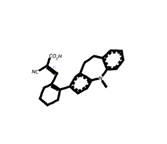 CN1c2ccccc2CCc2cc(C3=C(/C=C(\C#N)C(=O)O)CCCC3)ccc21